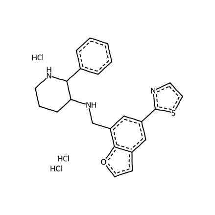 Cl.Cl.Cl.c1ccc(C2NCCCC2NCc2cc(-c3nccs3)cc3ccoc23)cc1